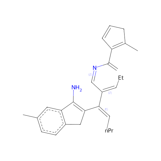 C=C(\N=C/C(=C\CC)C(=C/CCC)/C1=C(N)c2cc(C)ccc2C1)C1=C(C)CC=C1